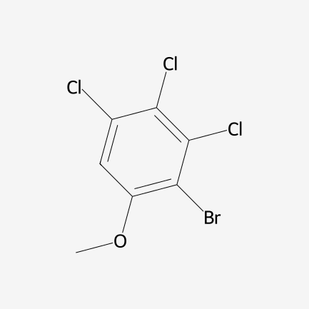 COc1cc(Cl)c(Cl)c(Cl)c1Br